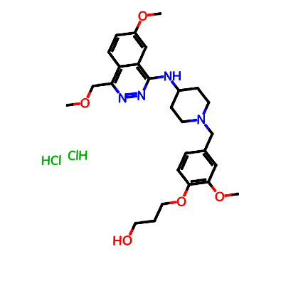 COCc1nnc(NC2CCN(Cc3ccc(OCCCO)c(OC)c3)CC2)c2cc(OC)ccc12.Cl.Cl